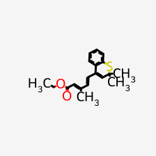 CCOC(=O)C=C(C)C=CC1=CC(C)(C)Sc2ccccc21